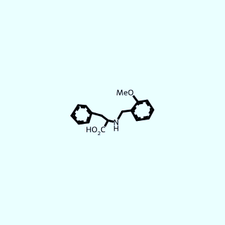 COc1ccccc1CNC(Cc1ccccc1)C(=O)O